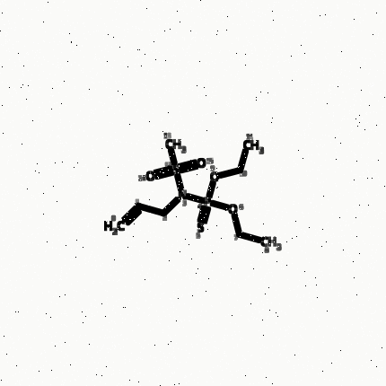 C=CCN(P(=S)(OCC)OCC)S(C)(=O)=O